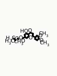 COc1ccc(-c2cc(=O)c3c(O)cc(C(=O)OCOC(C)(C)C)cc3o2)cc1OC